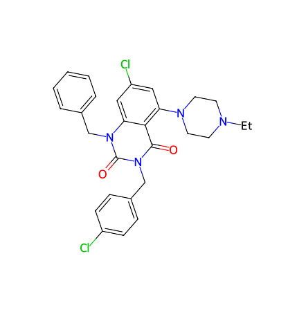 CCN1CCN(c2cc(Cl)cc3c2c(=O)n(Cc2ccc(Cl)cc2)c(=O)n3Cc2ccccc2)CC1